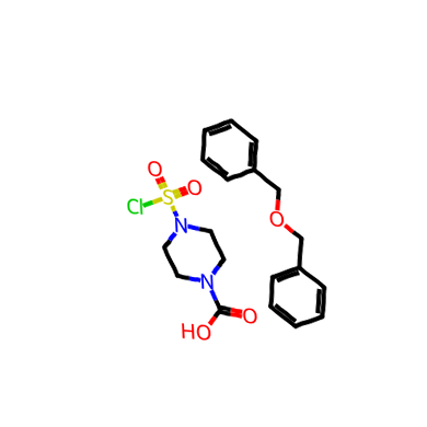 O=C(O)N1CCN(S(=O)(=O)Cl)CC1.c1ccc(COCc2ccccc2)cc1